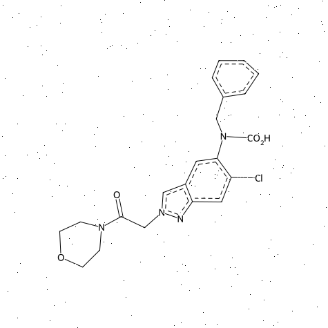 O=C(Cn1cc2cc(N(Cc3ccccc3)C(=O)O)c(Cl)cc2n1)N1CCOCC1